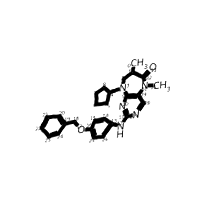 CC1CN(C2CCCC2)c2nc(Nc3ccc(OCc4ccccc4)cc3)ncc2N(C)C1=O